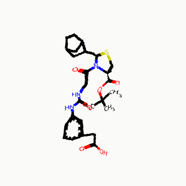 CC(C)(C)OC(=O)[C@@H]1CSC(C2CC3CCC2C3)N1C(=O)CNC(=O)Nc1cccc(CC(=O)O)c1